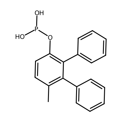 Cc1ccc(OP(O)O)c(-c2ccccc2)c1-c1ccccc1